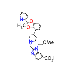 COCCn1c(CN2CCC(c3cccc4c3OC(C)(c3ccccn3)O4)CC2)nc2ccc(C(=O)O)cc21